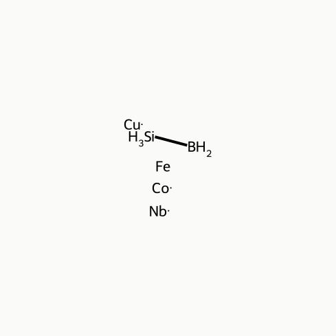 B[SiH3].[Co].[Cu].[Fe].[Nb]